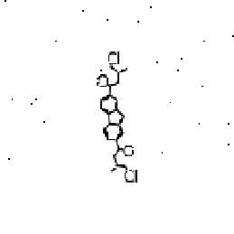 CC(CCl)CC(=O)c1ccc2c(c1)Cc1cc(C(=O)CC(C)CCl)ccc1-2